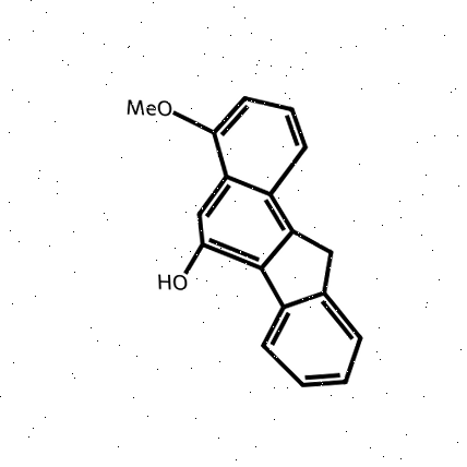 COc1cccc2c3c(c(O)cc12)-c1ccccc1C3